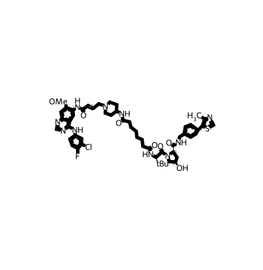 COc1cc2ncnc(Nc3ccc(F)c(Cl)c3)c2cc1NC(=O)/C=C/CN1CCC(NC(=O)CCCCCCC(=O)N[C@H](C(=O)N2C[C@H](O)C[C@H]2C(=O)NCc2ccc(-c3scnc3C)cc2)C(C)(C)C)CC1